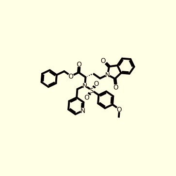 COc1ccc(S(=O)(=O)N(Cc2cccnc2)[C@@H](CCN2C(=O)c3ccccc3C2=O)C(=O)OCc2ccccc2)cc1